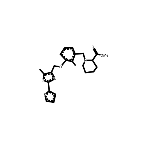 COC(=O)C1CCCCN1Cc1cccc(OCc2nc(-c3cccs3)oc2C)c1C